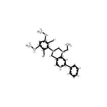 CCN1CN(c2c(F)c(OC)cc(OC)c2F)Cc2cnc(-c3ccccc3)cc21